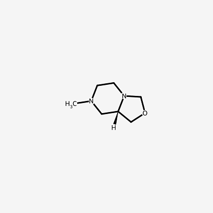 CN1CCN2COC[C@@H]2C1